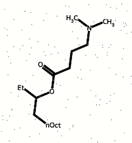 CCCCCCCCCC(CC)OC(=O)CCCN(C)C